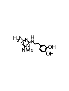 CNc1nc(N)nc(NCCc2ccc(O)c(O)c2)n1